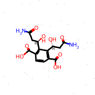 NC(=O)C[C@@H](O)c1c(C(=O)O)ccc(C(=O)O)c1[C@H](O)CC(N)=O